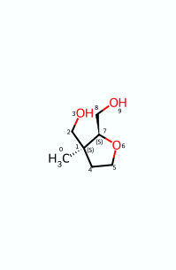 C[C@@]1(CO)CCO[C@@H]1CO